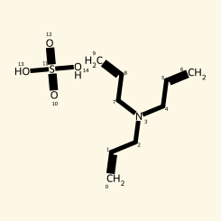 C=CCN(CC=C)CC=C.O=S(=O)(O)O